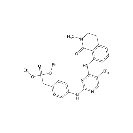 CCOP(=O)(Cc1ccc(Nc2ncc(C(F)(F)F)c(Nc3cccc4c3C(=O)N(C)CC4)n2)cc1)OCC